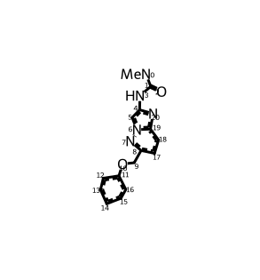 CNC(=O)Nc1cn2nc(COc3ccccc3)ccc2n1